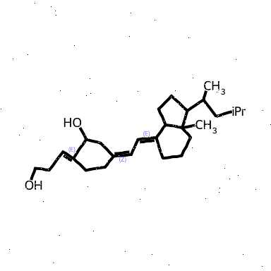 CC(C)CC(C)C1CCC2/C(=C/C=C3/CC/C(=C\CCO)C(O)C3)CCCC21C